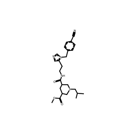 COC(=O)C1CC(C(=O)NCCc2cncn2Cc2ccc(C#N)cc2)CN(CC(C)C)C1